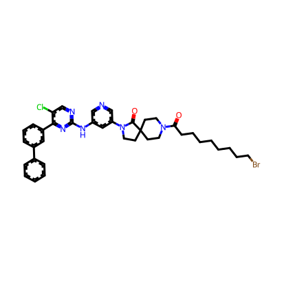 O=C(CCCCCCCCBr)N1CCC2(CC1)CCN(c1cncc(Nc3ncc(Cl)c(-c4cccc(-c5ccccc5)c4)n3)c1)C2=O